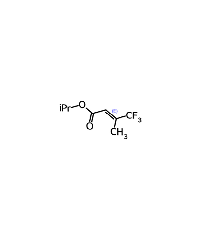 C/C(=C\C(=O)OC(C)C)C(F)(F)F